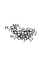 CC1Oc2cccc(CN(Cc3cc(C(C)(C)C)c(O)c(C(C)(C)C)c3)C(=O)OC(C)(C)C)c2N=C1N